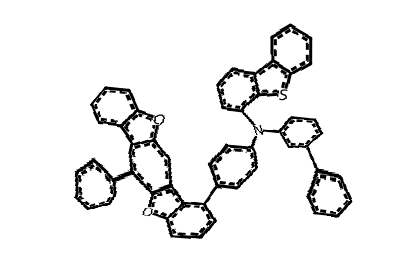 c1ccc(-c2cccc(N(c3ccc(-c4cccc5oc6c(-c7ccccc7)c7c(cc6c45)oc4ccccc47)cc3)c3cccc4c3sc3ccccc34)c2)cc1